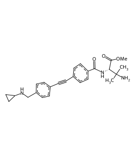 COC(=O)[C@@H](NC(=O)c1ccc(C#Cc2ccc(CNC3CC3)cc2)cc1)C(C)(C)N